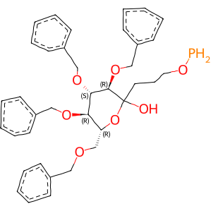 OC1(CCCOP)O[C@H](COCc2ccccc2)[C@@H](OCc2ccccc2)[C@H](OCc2ccccc2)[C@H]1OCc1ccccc1